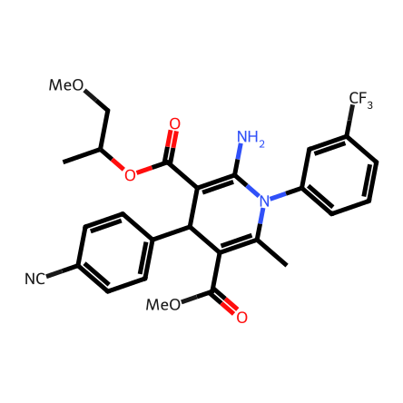 COCC(C)OC(=O)C1=C(N)N(c2cccc(C(F)(F)F)c2)C(C)=C(C(=O)OC)C1c1ccc(C#N)cc1